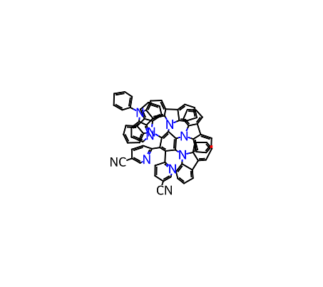 N#Cc1ccc(-c2c(-c3ccc(C#N)cn3)c(-n3c4ccccc4c4ccccc43)c(-n3c4ccccc4c4ccc5c(c6ncccc6n5-c5ccccc5)c43)c(-n3c4ccccc4c4ccccc43)c2-n2c3ccccc3c3ccccc32)nc1